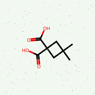 CC1(C)CC(C(=O)O)(C(=O)O)C1